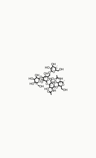 CC(=O)N[C@H]1C(O)[C@H](O[C@@H]2OC(CO[C@H]3OC(CO)[C@@H](C)C(O)[C@H]3O)[C@@H](O)C(O[C@H]3O[C@H](CO)[C@@H](O)C(O)C3O)[C@H]2O)C(CO)O[C@H]1O[C@@H]1C(CO)O[C@@H](C)[C@@H](NC(C)=O)C1O